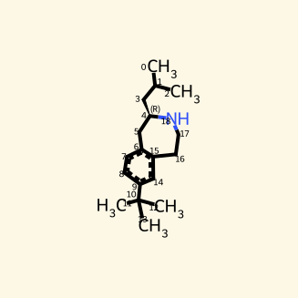 CC(C)C[C@@H]1Cc2ccc(C(C)(C)C)cc2CCN1